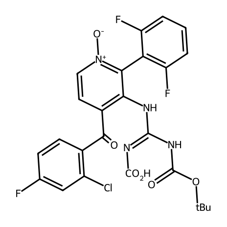 CC(C)(C)OC(=O)N/C(=N\C(=O)O)Nc1c(C(=O)c2ccc(F)cc2Cl)cc[n+]([O-])c1-c1c(F)cccc1F